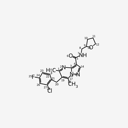 Cc1nc2c(C(=O)NCC3CCCO3)cnn2c(C)c1Cc1ccc(F)cc1Cl